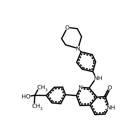 CC(C)(O)c1ccc(-c2cc3cc[nH]c(=O)c3c(Nc3ccc(N4CCOCC4)cc3)n2)cc1